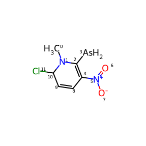 CN1C([AsH2])=C([N+](=O)[O-])C=CC1Cl